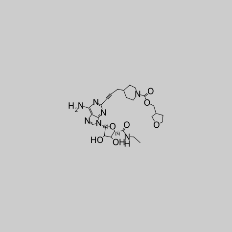 CCNC(=O)[C@H]1O[C@@H](n2cnc3c(N)nc(C#CCC4CCN(C(=O)OCC5CCOC5)CC4)nc32)C(O)C1O